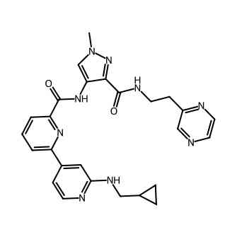 Cn1cc(NC(=O)c2cccc(-c3ccnc(NCC4CC4)c3)n2)c(C(=O)NCCc2cnccn2)n1